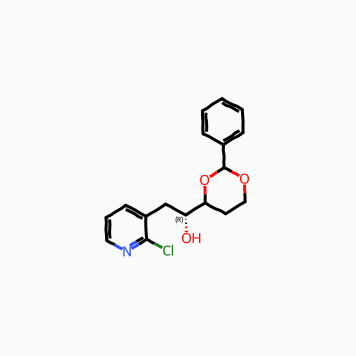 O[C@H](Cc1cccnc1Cl)C1CCOC(c2ccccc2)O1